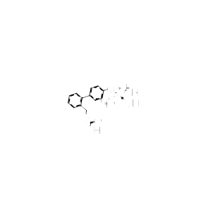 CC(=O)OCc1ccccc1-c1ccc(O[Si](C)(C)C(C)(C)C)cc1